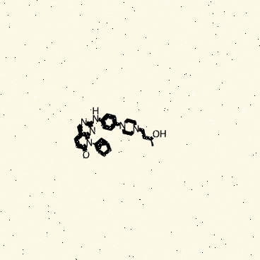 C[C@H](O)CCN1CCN(c2ccc(Nc3ncc4ccc(=O)n([C@@H]5CC6CCC5C6)c4n3)cc2)CC1